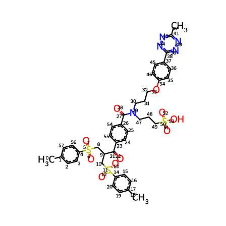 Cc1ccc(S(=O)(=O)CC(CS(=O)(=O)c2ccc(C)cc2)C(=O)c2ccc(C(=O)N(CCCOc3ccc(-c4nnc(C)nn4)cc3)CCCS(=O)(=O)O)cc2)cc1